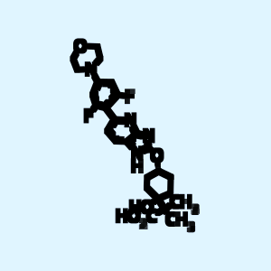 CC(C)(C(=O)O)[C@]1(O)CC[C@@H](Oc2nc3nc(-c4c(F)cc(N5CCOCC5)cc4F)ccc3[nH]2)CC1